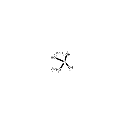 O[Si](O)(O)O.[Au].[MgH2]